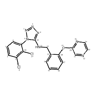 Clc1cccc(-n2nnnc2NCc2ccccc2Oc2cnccn2)c1Cl